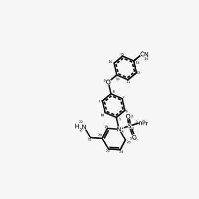 CCCS(=O)(=O)[N+]1(c2ccc(Oc3ccc(C#N)cc3)cc2)C=C(CN)C=CC1